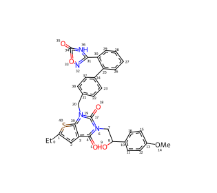 CCc1cc2c(=O)n(CC(O)c3ccc(OC)cc3)c(=O)n(Cc3ccc(-c4ccccc4-c4noc(=O)[nH]4)cc3)c2s1